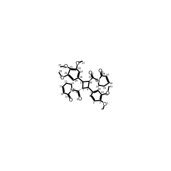 COc1ccc(C2[C@H](C(=O)N3CCC=CC3=O)C(c3cc(OC)c(OC)c(OC)c3)[C@H]2C(=O)N2CCC=CC2=O)cc1OC